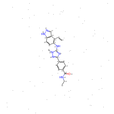 C=Cc1c(Nc2nc(-c3ccc(C(=O)NCC)cc3)nn2C)ccc2[nH]ncc12